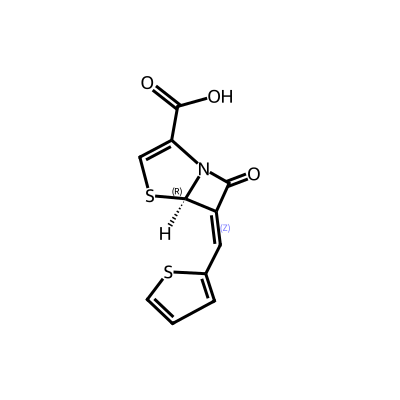 O=C(O)C1=CS[C@@H]2/C(=C\c3cccs3)C(=O)N12